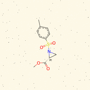 COC(=O)[C@H]1CN1S(=O)(=O)c1ccc(C)cc1